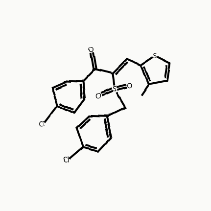 Cc1ccsc1/C=C(/C(=O)c1ccc(Cl)cc1)S(=O)(=O)Cc1ccc(Cl)cc1